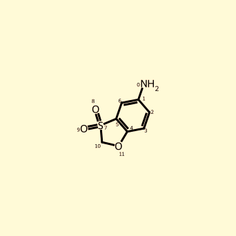 Nc1ccc2c(c1)S(=O)(=O)CO2